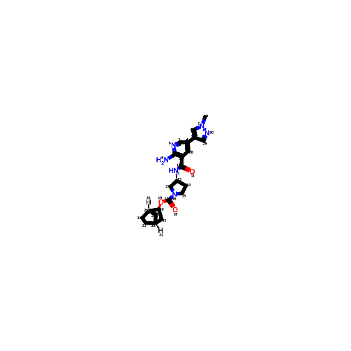 Cn1cc(-c2cnc(N)c(C(=O)N[C@@H]3CCN(C(=O)O[C@H]4C[C@H]5CC[C@@H]4C5)C3)c2)cn1